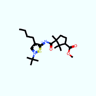 CCCCc1cn(C(C)(C)C)s/c1=N\C(=O)C1(C)CCC(C(=O)OC)C1(C)C